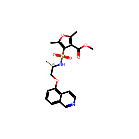 COC(=O)c1c(C)oc(C)c1S(=O)(=O)N[C@@H](C)COc1cccc2cnccc12